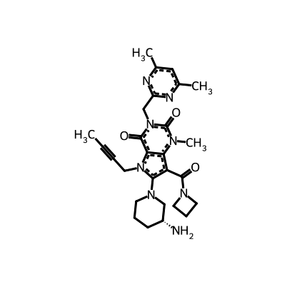 CC#CCn1c(N2CCC[C@@H](N)C2)c(C(=O)N2CCC2)c2c1c(=O)n(Cc1nc(C)cc(C)n1)c(=O)n2C